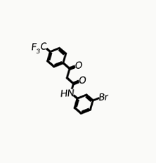 O=C(CC(=O)c1ccc(C(F)(F)F)cc1)Nc1cccc(Br)c1